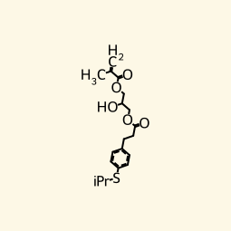 C=C(C)C(=O)OCC(O)COC(=O)CCc1ccc(SC(C)C)cc1